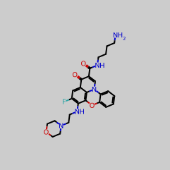 NCCCCNC(=O)c1cn2c3c(c(NCCN4CCOCC4)c(F)cc3c1=O)Oc1ccccc1-2